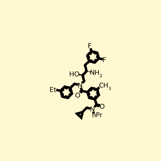 CCCN(CC1CC1)C(=O)c1cc(C)cc(C(=O)N(Cc2cccc(CC)c2)C[C@@H](O)[C@@H](N)Cc2cc(F)cc(F)c2)c1